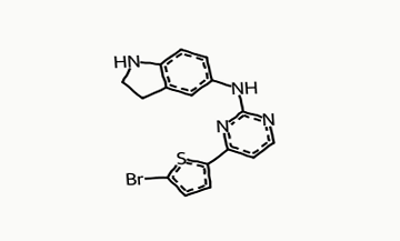 Brc1ccc(-c2ccnc(Nc3ccc4c(c3)CCN4)n2)s1